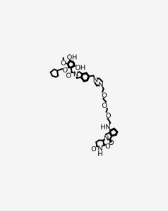 COc1c(O)cc(O)c(C(=O)N2Cc3ccc(CN4CCN(CCOCCOCCOCCNc5cccc6c5CN(C5CCC(=O)NC5=O)C6=O)CC4)cc3C2)c1OCC1CCCCC1